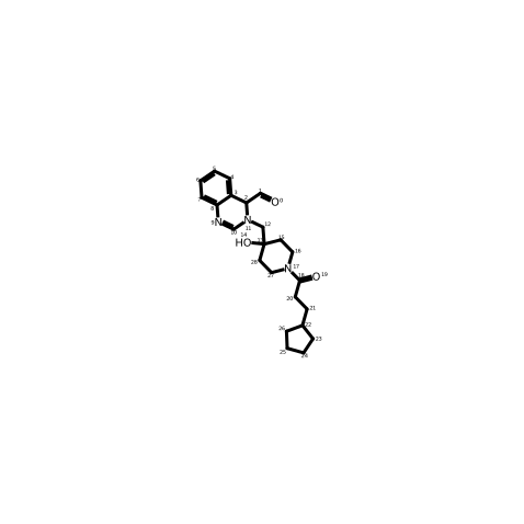 O=CC1c2ccccc2N=CN1CC1(O)CCN(C(=O)CCC2CCCC2)CC1